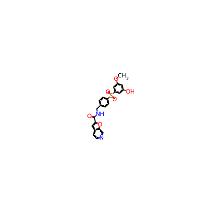 COc1cc(O)cc(S(=O)(=O)c2ccc(CNC(=O)c3cc4ccncc4o3)cc2)c1